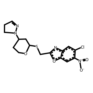 O=[N+]([O-])c1cc2oc(CSC3CC(N4CCC=N4)CCO3)nc2cc1Cl